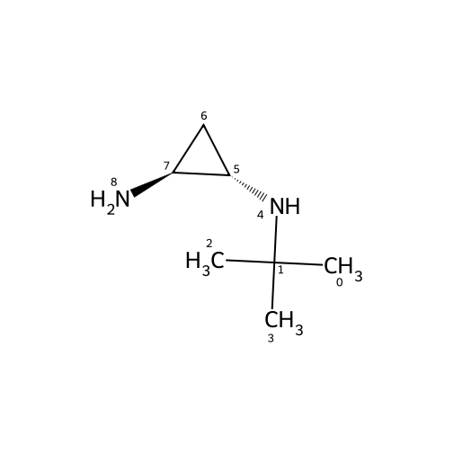 CC(C)(C)N[C@H]1C[C@@H]1N